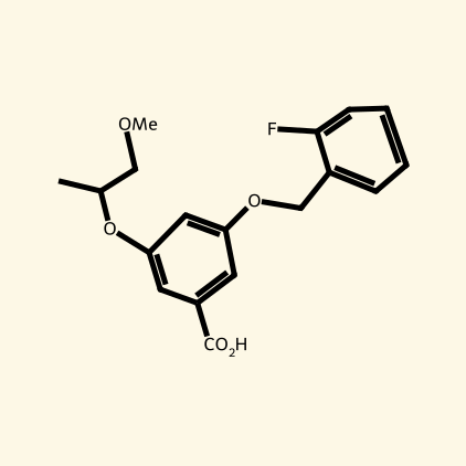 COCC(C)Oc1cc(OCc2ccccc2F)cc(C(=O)O)c1